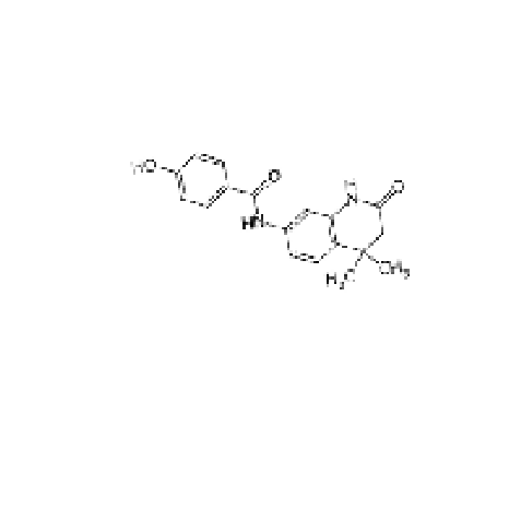 CC1(C)CC(=O)Nc2cc(NC(=O)c3ccc(O)cc3)ccc21